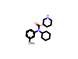 COc1cccc(N(C(=O)[C@H]2CCCNC2)C2CCCCC2)c1